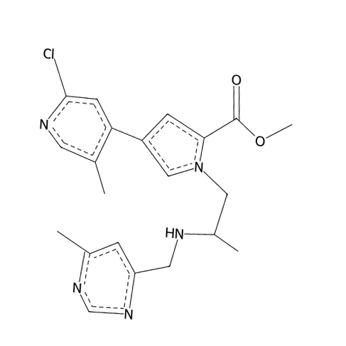 COC(=O)c1cc(-c2cc(Cl)ncc2C)cn1CC(C)NCc1cc(C)ncn1